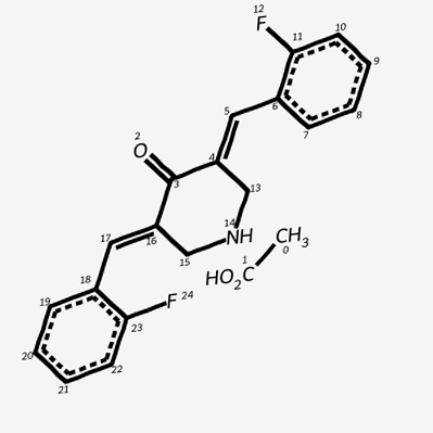 CC(=O)O.O=C1C(=Cc2ccccc2F)CNCC1=Cc1ccccc1F